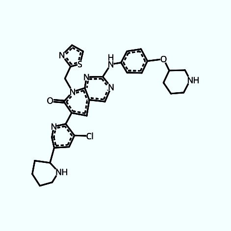 O=c1c(-c2ncc(C3CCCCN3)cc2Cl)cc2cnc(Nc3ccc(OC4CCCNC4)cc3)nc2n1Cc1nccs1